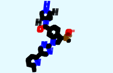 Cc1cccc(-c2cnc(-n3cc([S+](C)[O-])c4ccc(C(=O)N5C[C@@H]6C[C@H]5CN6)cc43)nc2)n1